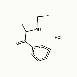 CCNC(C)C(=O)c1ccccc1.Cl